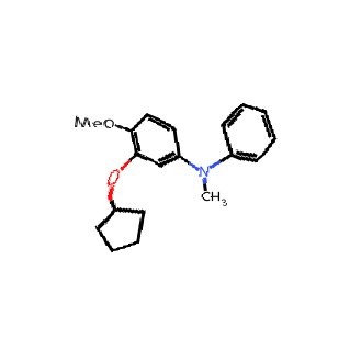 COc1ccc(N(C)c2ccccc2)cc1OC1CCCC1